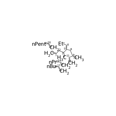 C=CCC(C)C(=CCC)CC(C)C=C.C=CCCC.C=CCCCC.C=CCCCCC